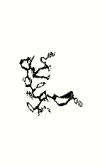 CC(C)(C)OC(=O)N(CC1CC1)c1ncccc1-c1nc(C(=O)Nc2cn(-c3ccc(C=O)cc3)nc2C(N)=O)co1